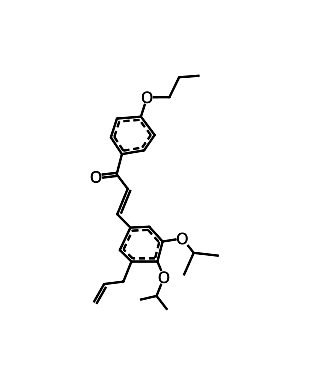 C=CCc1cc(/C=C/C(=O)c2ccc(OCCC)cc2)cc(OC(C)C)c1OC(C)C